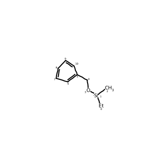 CC[Si](C)OCc1ccccc1